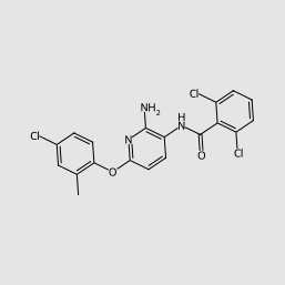 Cc1cc(Cl)ccc1Oc1ccc(NC(=O)c2c(Cl)cccc2Cl)c(N)n1